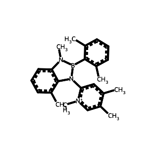 Cc1cc(N2B(c3c(C)cccc3C)N(C)c3cccc(C)c32)[n+](C)cc1C